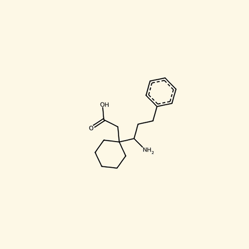 NC(CCc1ccccc1)C1(CC(=O)O)CCCCC1